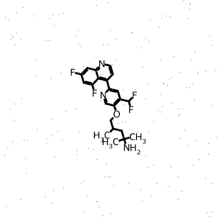 CC(COc1cnc(-c2ccnc3cc(F)cc(F)c23)cc1C(F)F)CC(C)(C)N